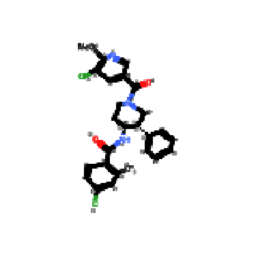 COc1ncc(C(=O)N2CC[C@@H](NC(=O)c3ccc(Cl)cc3C(F)(F)F)[C@@H](c3ccccc3)C2)cc1Cl